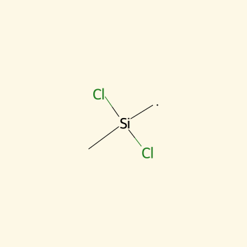 [CH2][Si](C)(Cl)Cl